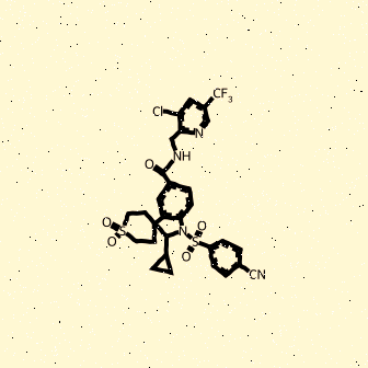 N#Cc1ccc(S(=O)(=O)N2c3ccc(C(=O)NCc4ncc(C(F)(F)F)cc4Cl)cc3C3(CCS(=O)(=O)CC3)C2C2CC2)cc1